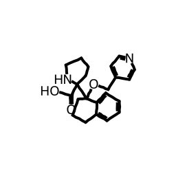 O=C(O)C1(C2(OCc3ccncc3)CCCc3ccccc32)CCCCN1